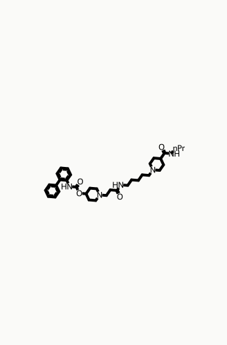 CCCNC(=O)C1CCN(CCCCCNC(=O)CCN2CCC(OC(=O)Nc3ccccc3-c3ccccc3)CC2)CC1